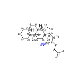 CC(C)CCC(C#N)[C@@H](C)[C@H]1CC[C@H]2[C@@H]3CC=C4CCCC[C@]4(C)[C@H]3CC[C@]12C